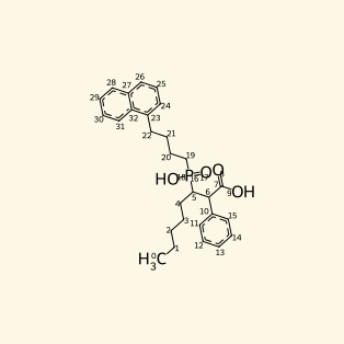 CCCCCC(C(C(=O)O)c1ccccc1)P(=O)(O)CCCCc1cccc2ccccc12